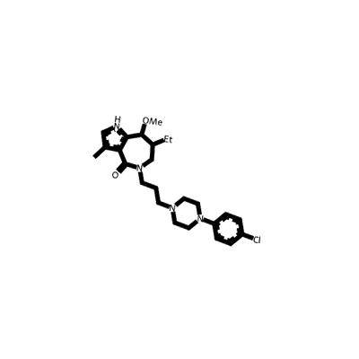 CCC1CN(CCCN2CCN(c3ccc(Cl)cc3)CC2)C(=O)c2c(C)c[nH]c2C1OC